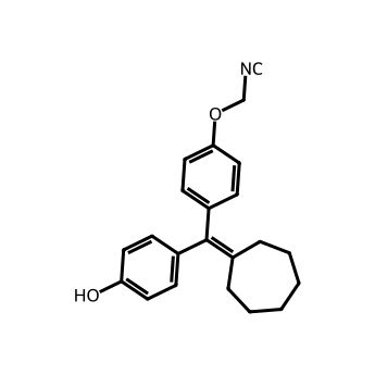 [C-]#[N+]COc1ccc(C(=C2CCCCCC2)c2ccc(O)cc2)cc1